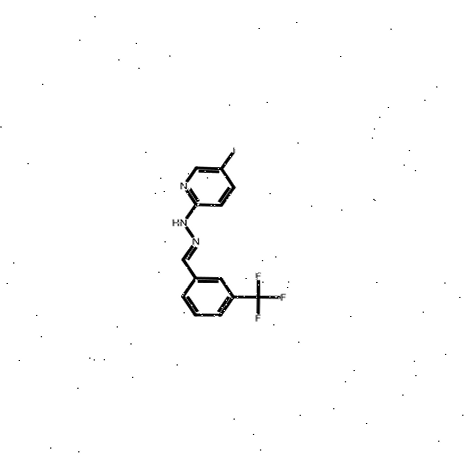 FC(F)(F)c1cccc(C=NNc2ccc(I)cn2)c1